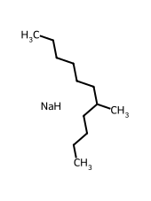 CCCCCCC(C)CCCC.[NaH]